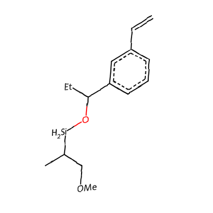 C=Cc1cccc(C(CC)O[SiH2]C(C)COC)c1